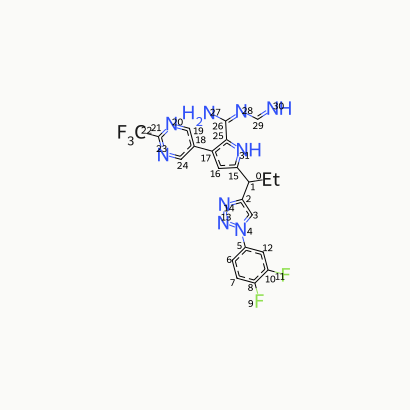 CCC(c1cn(-c2ccc(F)c(F)c2)nn1)c1cc(-c2cnc(C(F)(F)F)nc2)c(/C(N)=N\C=N)[nH]1